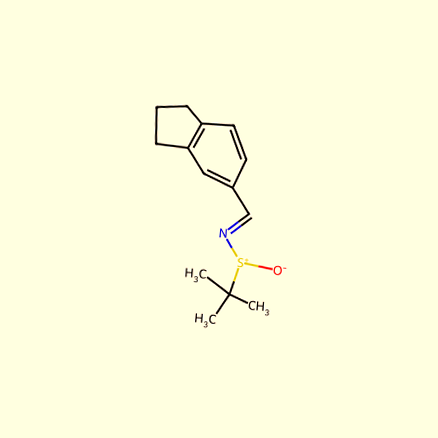 CC(C)(C)[S+]([O-])N=Cc1ccc2c(c1)CCC2